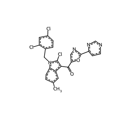 Cc1ccc2c(c1)c(C(=O)c1cnc(-c3ccncn3)o1)c(Cl)n2Cc1ccc(Cl)cc1Cl